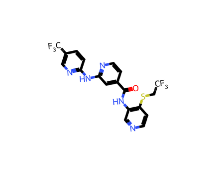 O=C(Nc1cnccc1SCC(F)(F)F)c1ccnc(Nc2ccc(C(F)(F)F)cn2)c1